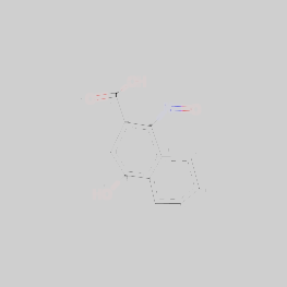 O=Nc1c(C(=O)O)cc(O)c2ccccc12